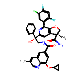 Cc1cnc2c(OC3CC3)cc(C(=O)NC[C@@](O)(c3ccccc3)c3cc4c(c(-c5cc(Cl)c(F)cc5F)n3)OC[C@]4(C)C(N)=O)cc2c1